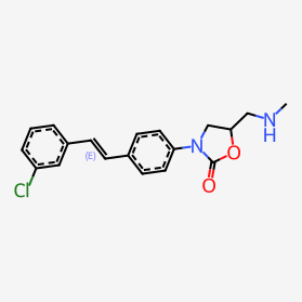 CNCC1CN(c2ccc(/C=C/c3cccc(Cl)c3)cc2)C(=O)O1